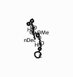 CCCCCCCCCCCCCCN(Cc1ccc(OCCCC(=O)NCc2ccc(C3CCCCCCCCCCC3)cc2)cc1OC)C(=O)CNC(=O)OCC1c2ccccc2-c2ccccc21